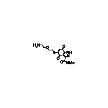 CNC(=O)c1n[nH]c2c1C(=O)C(SCCOCCN)=CC2=O